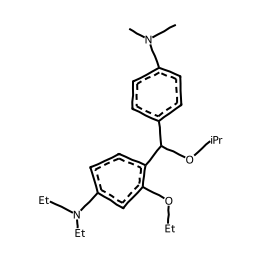 CCOc1cc(N(CC)CC)ccc1C(OC(C)C)c1ccc(N(C)C)cc1